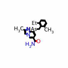 CCc1cccc(C)c1C[AsH]c1cc(C(N)=O)cn2cc(C)nc12